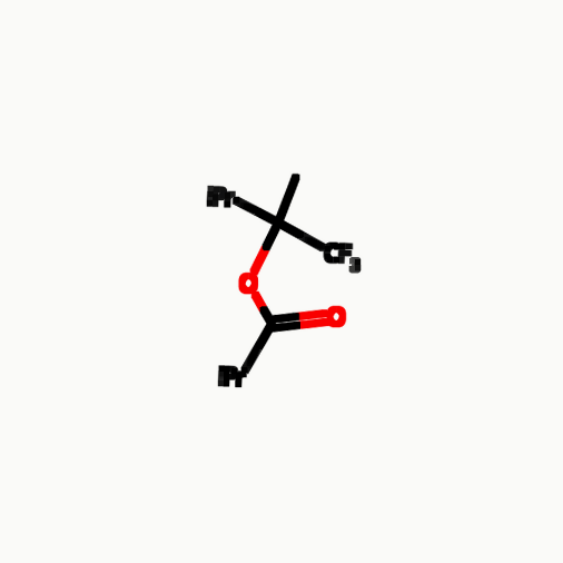 CC(C)C(=O)OC(C)(C(C)C)C(F)(F)F